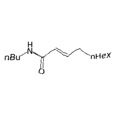 CCCCCCC/C=C/C(=O)NCCCC